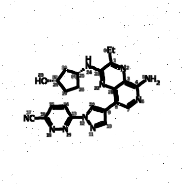 CCc1nc2c(N)ncc(-c3cnn(-c4ccc(C#N)nn4)c3)c2nc1N[C@@H]1CC[C@H](O)C1